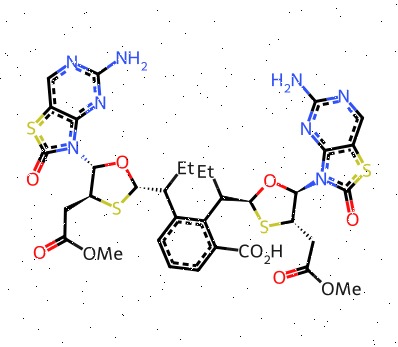 CCC(c1cccc(C(=O)O)c1C(CC)[C@H]1O[C@@H](n2c(=O)sc3cnc(N)nc32)[C@H](CC(=O)OC)S1)[C@H]1O[C@@H](n2c(=O)sc3cnc(N)nc32)[C@H](CC(=O)OC)S1